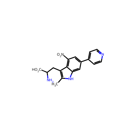 Cc1[nH]c2cc(-c3ccncc3)cc([N+](=O)[O-])c2c1CC(N)C(=O)O